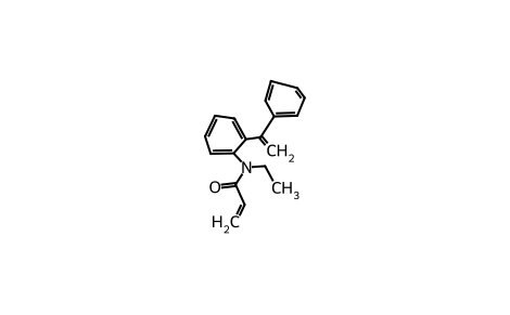 C=CC(=O)N(CC)c1ccccc1C(=C)c1ccccc1